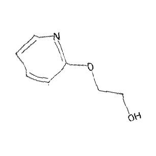 OCCOc1[c]cccn1